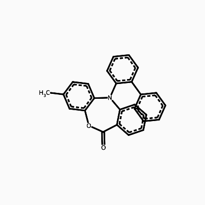 Cc1ccc2c(c1)OC(=O)c1ccccc1N2c1ccccc1-c1ccccc1